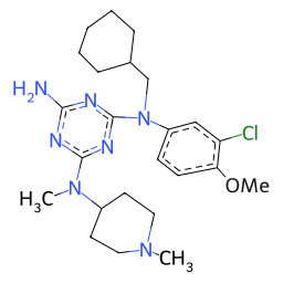 COc1ccc(N(CC2CCCCC2)c2nc(N)nc(N(C)C3CCN(C)CC3)n2)cc1Cl